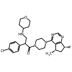 C[C@@H]1C[C@H](F)c2ncnc(N3CCN(C(=O)C(CNC4CCOCC4)c4ccc(Cl)cc4)CC3)c21